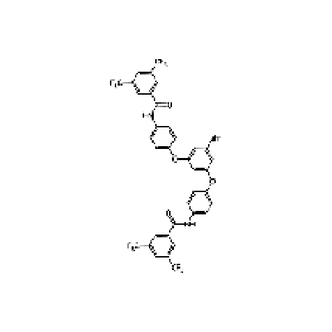 CC(C)c1cc(Oc2ccc(NC(=O)c3cc(C(F)(F)F)cc(C(F)(F)F)c3)cc2)cc(Oc2ccc(NC(=O)c3cc(C(F)(F)F)cc(C(F)(F)F)c3)cc2)c1